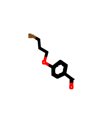 O=[C]c1ccc(OCCCBr)cc1